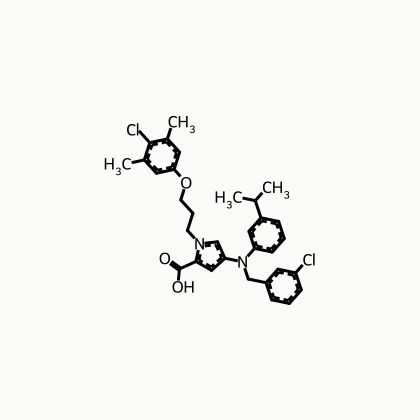 Cc1cc(OCCCn2cc(N(Cc3cccc(Cl)c3)c3cccc(C(C)C)c3)cc2C(=O)O)cc(C)c1Cl